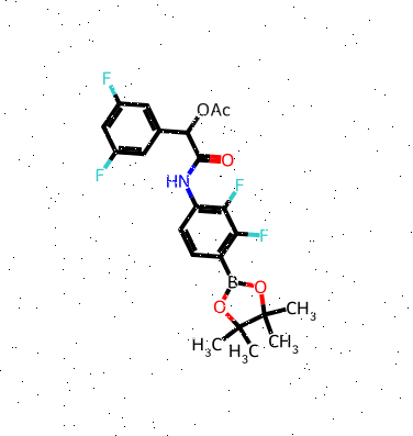 CC(=O)OC(C(=O)Nc1ccc(B2OC(C)(C)C(C)(C)O2)c(F)c1F)c1cc(F)cc(F)c1